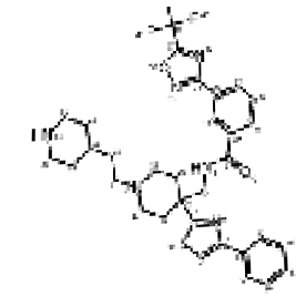 O=C(NCC1(c2nc(-c3ccccc3)cs2)CCN(CCC2CCNCC2)CC1)c1cccc(-c2noc(C(F)(F)F)n2)c1